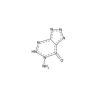 Nn1[nH]nc2nnnc-2c1=O